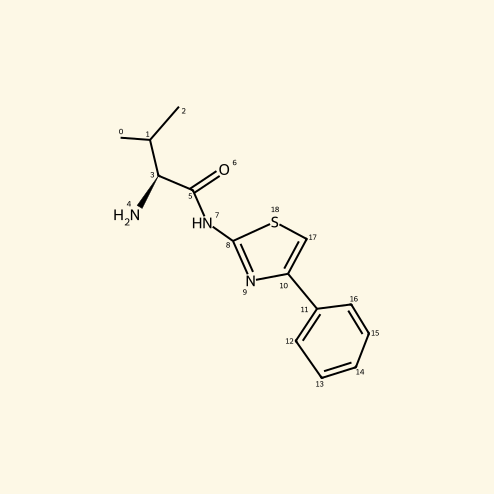 CC(C)[C@H](N)C(=O)Nc1nc(-c2ccccc2)cs1